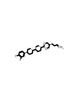 C=CCC[C@H]1CO[C@H]([C@H]2CC[C@H]([C@H]3CC[C@H](c4ccc(F)c(F)c4)CC3)CC2)OC1